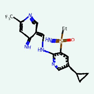 CCS(=N)(=O)c1cc(C2CC2)cnc1N/C=C1/C=NC(C(F)(F)F)=CC1=N